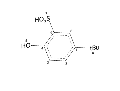 CC(C)(C)c1ccc(O)c(S(=O)(=O)O)c1